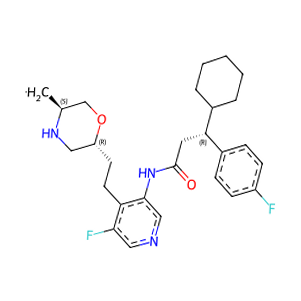 [CH2][C@H]1CO[C@H](CCc2c(F)cncc2NC(=O)C[C@@H](c2ccc(F)cc2)C2CCCCC2)CN1